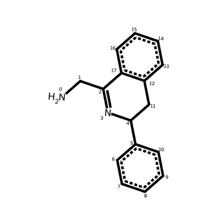 NCC1=NC(c2ccccc2)Cc2ccccc21